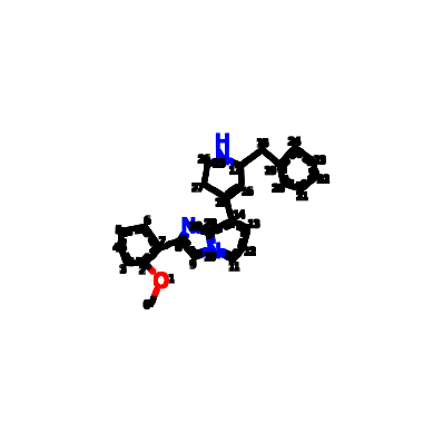 COc1ccccc1-c1cn2cccc(C3=CC(Cc4ccccc4)NCC3)c2n1